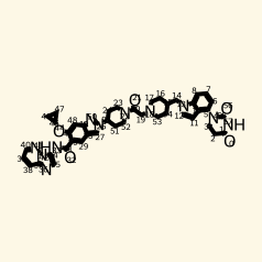 O=C1CCN(c2cccc3c2ccn3CC2CCN(CC(=O)N3CCC(n4cc5cc(C(=O)Nc6cnc7cccnn67)c(OC6CC6)cc5n4)CC3)CC2)C(=O)N1